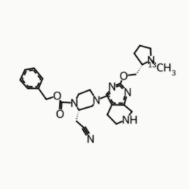 [13CH3]N1CCC[C@H]1COc1nc2c(c(N3CCN(C(=O)OCc4ccccc4)[C@@H](CC#N)C3)n1)CCNC2